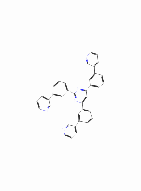 c1cncc(-c2cccc(-c3cc(-c4cccc(-c5cccnc5)c4)nc(-c4cccc(-c5cccnc5)c4)n3)c2)c1